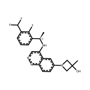 C[C@@H](Nc1cnnc2ccc(N3CC(C)(O)C3)cc12)c1cccc(C(F)F)c1F